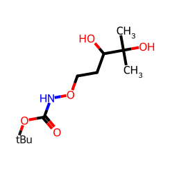 CC(C)(C)OC(=O)NOCCC(O)C(C)(C)O